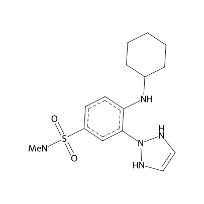 CNS(=O)(=O)c1ccc(NC2CCCCC2)c(N2NC=CN2)c1